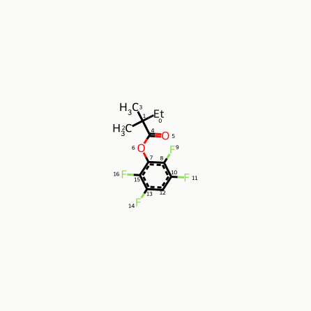 CCC(C)(C)C(=O)Oc1c(F)c(F)cc(F)c1F